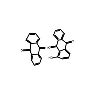 O=C1c2ccccc2C(=O)c2c(O)cccc21.O=C1c2ccccc2C(=O)c2ccccc21